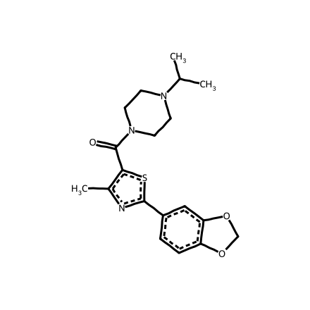 Cc1nc(-c2ccc3c(c2)OCO3)sc1C(=O)N1CCN(C(C)C)CC1